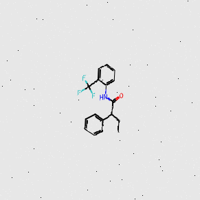 CCC(C(=O)Nc1ccccc1C(F)(F)F)c1ccccc1